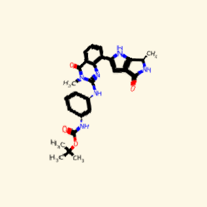 C[C@H]1NC(=O)c2cc(-c3cccc4c(=O)n(C)c(N[C@H]5CCC[C@@H](NC(=O)OC(C)(C)C)C5)nc34)[nH]c21